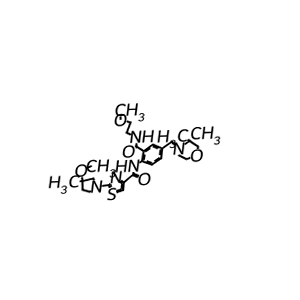 COCCNC(=O)c1cc(CN2CCOCC2(C)C)ccc1NC(=O)c1csc(N2CCC(C)(OC)C2)n1